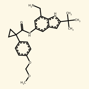 COCOc1ccc(C2(C(=O)Nc3cc(CN)c4[nH]c(C(C)(C)C)cc4c3)CC2)cc1